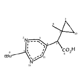 CC(C)(C)c1ncc(C(C(=O)O)C2(C)CC2)cn1